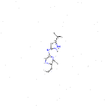 C/C=C\c1ncc(Nc2cc(C(C)C)[nH]n2)nc1C